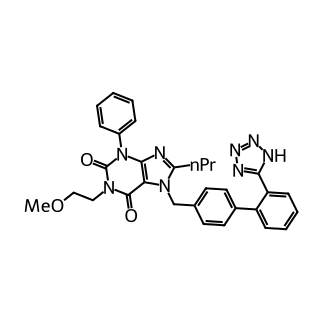 CCCc1nc2c(c(=O)n(CCOC)c(=O)n2-c2ccccc2)n1Cc1ccc(-c2ccccc2-c2nnn[nH]2)cc1